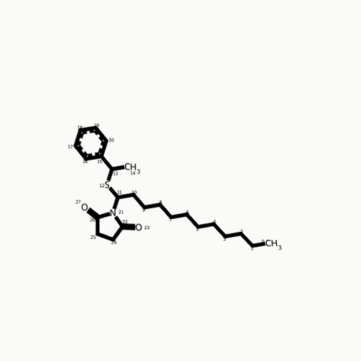 CCCCCCCCCCCC(SC(C)c1ccccc1)N1C(=O)CCC1=O